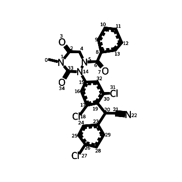 CN1C(=O)CN(C(=O)c2ccccc2)N(c2cc(Cl)c(C(C#N)c3ccc(Cl)cc3)c(Cl)c2)C1=O